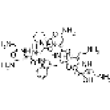 NCC[C@H](NC(=O)[C@H](CCN)NC(=O)[C@H](Cc1c[nH]c2ccccc12)NC(=O)[C@H](CCN)NC(=O)[C@@H]1CCCCN1C(=O)CNC(=O)[C@H](CCN)NC(=O)CN)C(=O)O